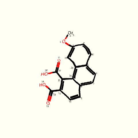 COc1ccc2ccc3ccc(C(=O)O)c(C(=O)O)c3c2c1